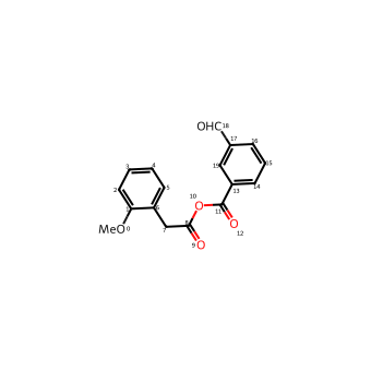 COc1ccccc1CC(=O)OC(=O)c1cccc(C=O)c1